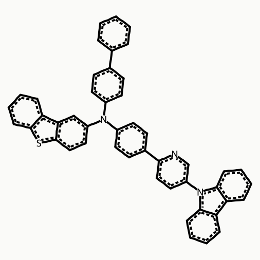 c1ccc(-c2ccc(N(c3ccc(-c4ccc(-n5c6ccccc6c6ccccc65)cn4)cc3)c3ccc4sc5ccccc5c4c3)cc2)cc1